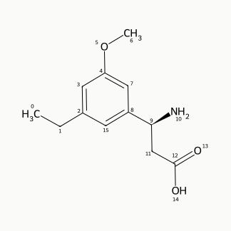 CCc1cc(OC)cc([C@@H](N)CC(=O)O)c1